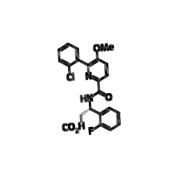 COc1ccc(C(=O)N[C@@H](CC(=O)O)c2ccccc2F)nc1-c1ccccc1Cl